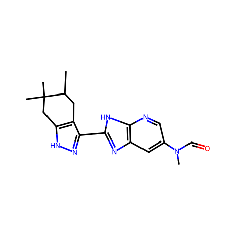 CC1Cc2c(-c3nc4cc(N(C)C=O)cnc4[nH]3)n[nH]c2CC1(C)C